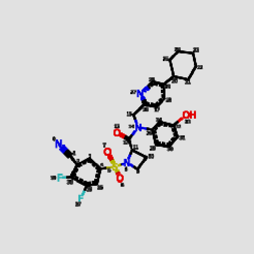 N#Cc1cc(S(=O)(=O)N2CC[C@@H]2C(=O)N(Cc2ccc(C3CCCCC3)cn2)c2cccc(O)c2)cc(F)c1F